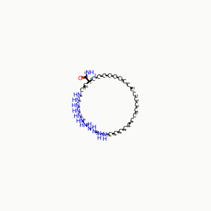 NC(=O)C1CCCCCCCCCCCCCCCCCCCCNNNNNNNNNNNCC1